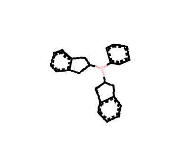 c1ccc(B(C2Cc3ccccc3C2)C2Cc3ccccc3C2)cc1